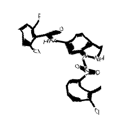 Cc1c(Cl)cccc1S(=O)(=O)N1NCc2ccc(NC(=O)c3c(F)cccc3Cl)cc21